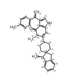 C=C(c1ccc(C)nc1)c1n[nH]c2nc(N3CCC4(CC3)Cc3ccccc3[C@H]4N)n(C)c(=O)c12